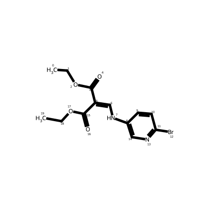 CCOC(=O)C(=CNc1ccc(Br)nc1)C(=O)OCC